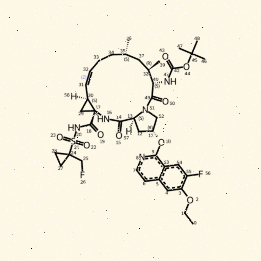 CCOc1cc2ccnc(O[C@@H]3C[C@H]4C(=O)N[C@]5(C(=O)NS(=O)(=O)C6(CF)CC6)C[C@H]5/C=C\CC[C@H](C)C[C@@H](C)[C@H](NC(=O)OC(C)(C)C)C(=O)N4C3)c2cc1F